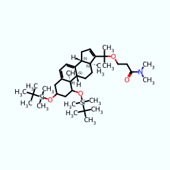 CN(C)C(=O)CCOC(C)(C)C1=CC[C@H]2C3=CC=C4CC(O[Si](C)(C)C(C)(C)C)CC(O[Si](C)(C)C(C)(C)C)[C@]4(C)[C@H]3CC[C@]12C